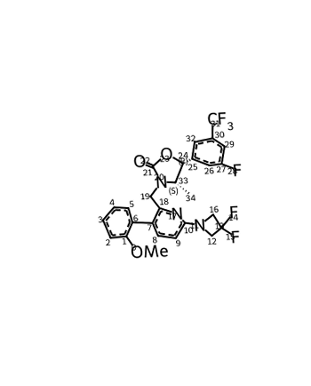 COc1ccccc1-c1ccc(N2CC(F)(F)C2)nc1CN1C(=O)O[C@H](c2cc(F)cc(C(F)(F)F)c2)[C@@H]1C